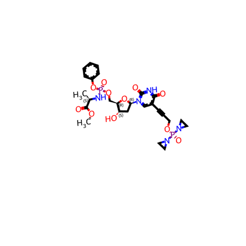 COC(=O)[C@H](C)NP(=O)(OC[C@H]1O[C@@H](n2cc(C#CCOP(=O)(N3CC3)N3CC3)c(=O)[nH]c2=O)C[C@@H]1O)Oc1ccccc1